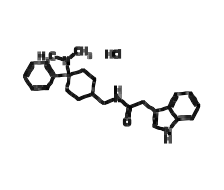 CN(C)C1(c2ccccc2)CCC(CNC(=O)Cc2c[nH]c3ccccc23)CC1.Cl